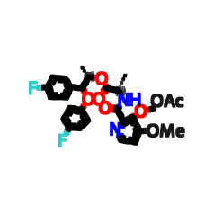 COc1ccnc(C(=O)N[C@@H](C)C(=O)O[C@@H](C)C(Oc2ccc(F)cc2)c2ccc(F)cc2)c1OCOC(C)=O